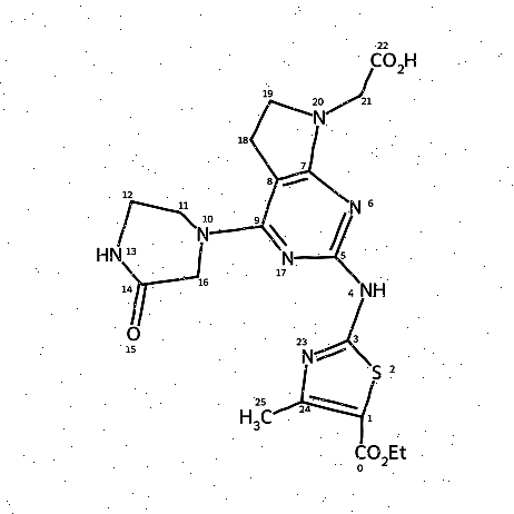 CCOC(=O)c1sc(Nc2nc3c(c(N4CCNC(=O)C4)n2)CCN3CC(=O)O)nc1C